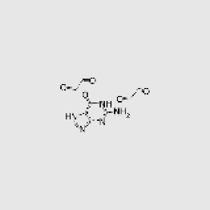 Nc1nc2nc[nH]c2c(=O)[nH]1.O=CC=O.O=CC=O